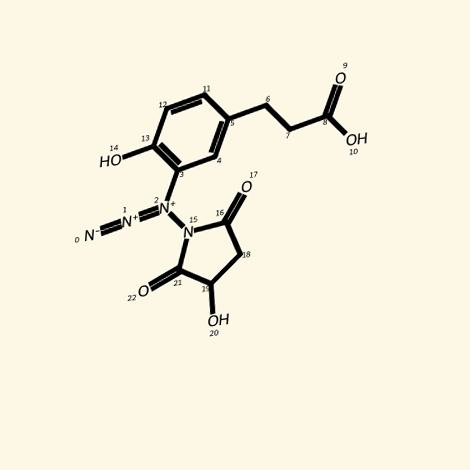 [N-]=[N+]=[N+](c1cc(CCC(=O)O)ccc1O)N1C(=O)CC(O)C1=O